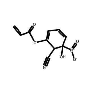 C=CC(=O)OC1=CC=CC(O)([N+](=O)[O-])C1C#N